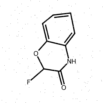 O=C1Nc2ccccc2OC1F